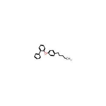 CCCCCc1ccc(Oc2ccccc2-c2cc[c]cc2)cc1